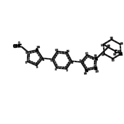 O=Cc1ccc(-c2ccc(-c3cn(C4CN5CCC4CC5)nn3)cc2)s1